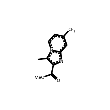 COC(=O)c1nc2cc(C(F)(F)F)ccn2c1C